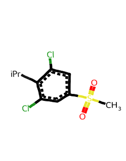 CC(C)c1c(Cl)cc(S(C)(=O)=O)cc1Cl